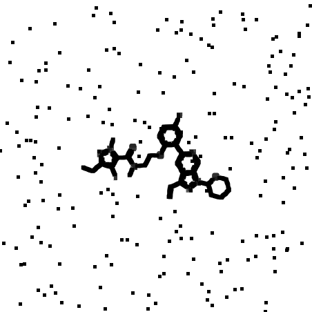 C=Cc1nn(C2CCCCO2)c2cnc(-c3cc(F)ccc3OCCN(C)C(=O)c3c(I)c(CC)nn3C)cc12